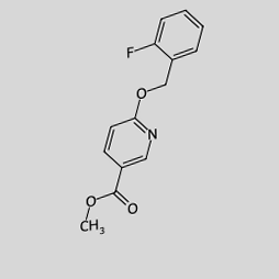 COC(=O)c1ccc(OCc2ccccc2F)nc1